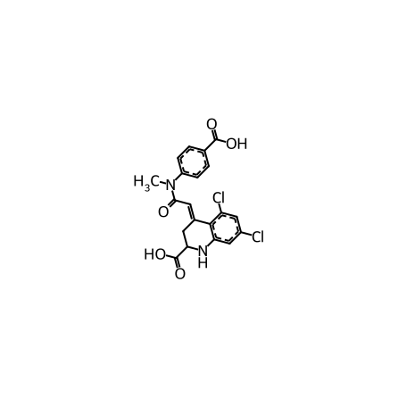 CN(C(=O)C=C1CC(C(=O)O)Nc2cc(Cl)cc(Cl)c21)c1ccc(C(=O)O)cc1